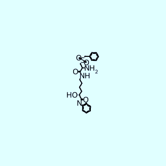 NC(CS(=O)(=O)Cc1ccccc1)C(=O)NCCCC[C@@H](O)c1nc2ccccc2o1